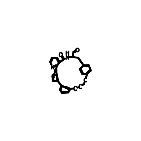 O=CC1Cc2ccc(cc2)CCCCc2cccc(c2)-c2ccn(n2)-c2ncccc2C(=O)N1